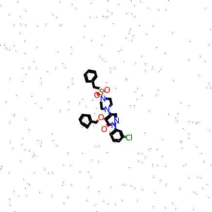 O=c1c(OCc2ccccc2)c(N2CCN(S(=O)(=O)CCc3ccccc3)CC2)cnn1-c1cccc(Cl)c1